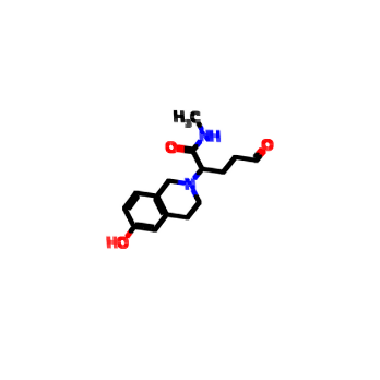 CNC(=O)C(CCC=O)N1CCc2cc(O)ccc2C1